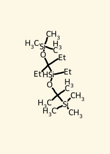 CC[SiH](OC(C)(C)[Si](C)(C)C)C(CC)(CC)O[Si](C)(C)C